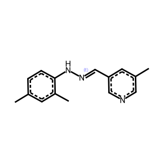 Cc1cncc(/C=N/Nc2ccc(C)cc2C)c1